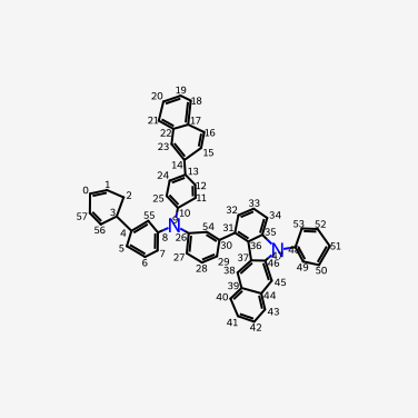 C1=CCC(c2cccc(N(c3ccc(-c4ccc5ccccc5c4)cc3)c3cccc(-c4cccc5c4c4cc6ccccc6cc4n5-c4ccccc4)c3)c2)C=C1